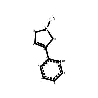 N#CN1CC=C(c2ccccn2)C1